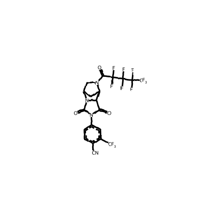 N#Cc1ccc(N2C(=O)C3C4CC(CN4C(=O)C(F)(F)C(F)(F)C(F)(F)C(F)(F)F)N3C2=O)cc1C(F)(F)F